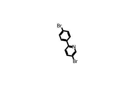 Brc1ccc(-c2ccc(Br)cn2)cc1